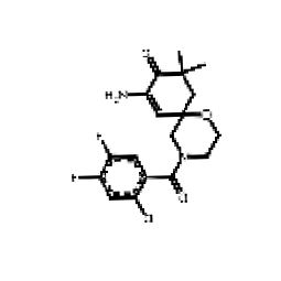 CC1(C)CC2(C=C(N)C1=O)CN(C(=O)c1cc(F)c(F)cc1Cl)CCO2